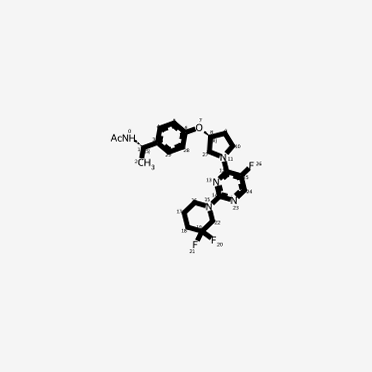 CC(=O)N[C@@H](C)c1ccc(O[C@@H]2CCN(c3nc(N4CCCC(F)(F)C4)ncc3F)C2)cc1